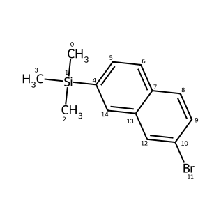 C[Si](C)(C)c1ccc2ccc(Br)cc2c1